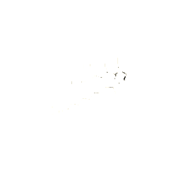 CCCCCCCCCCCCCCCCCC(C)[n+]1cc[nH]c1C(CCCCCCCC)CCCCCCCCCCCC